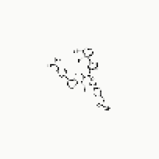 CNC(=O)c1ccc(-c2cccc3c2CCN(C(=O)c2cn(-c4cccc(Cl)c4F)nn2)C3C(=O)Nc2ccc(CC(=O)O)cc2)cn1